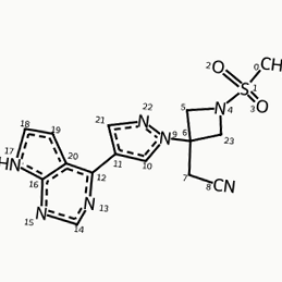 CS(=O)(=O)N1CC(CC#N)(n2cc(-c3ncnc4[nH]ccc34)cn2)C1